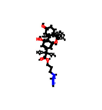 CC(C)(C(=O)OCCCN=[N+]=[N-])c1cc(O)c2c(c1)OC(C)(C)[C@@H]1CCC(=O)C[C@@H]21